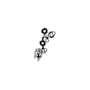 O=C(NNC(=O)C(F)(F)F)c1ccc(CN(C(=O)N2CCOCC2)c2ccccc2)cc1